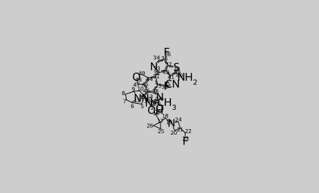 C[C@@H](O)CN1CC2CCC(C1)N2c1nc(OCC2(CN3CC(CF)C3)CC2)nc2c(F)c(-c3ncc(F)c4sc(N)c(C#N)c34)c3c(c12)COC3